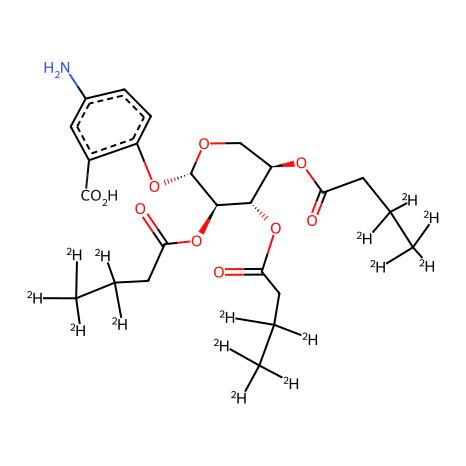 [2H]C([2H])([2H])C([2H])([2H])CC(=O)O[C@@H]1[C@@H](OC(=O)CC([2H])([2H])C([2H])([2H])[2H])[C@H](Oc2ccc(N)cc2C(=O)O)OC[C@H]1OC(=O)CC([2H])([2H])C([2H])([2H])[2H]